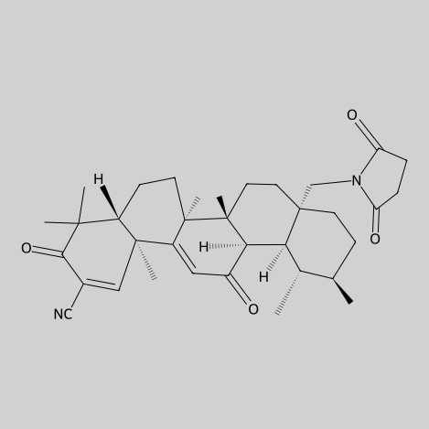 C[C@@H]1[C@H]2[C@H]3C(=O)C=C4[C@@]5(C)C=C(C#N)C(=O)C(C)(C)[C@@H]5CC[C@@]4(C)[C@]3(C)CC[C@@]2(CN2C(=O)CCC2=O)CC[C@H]1C